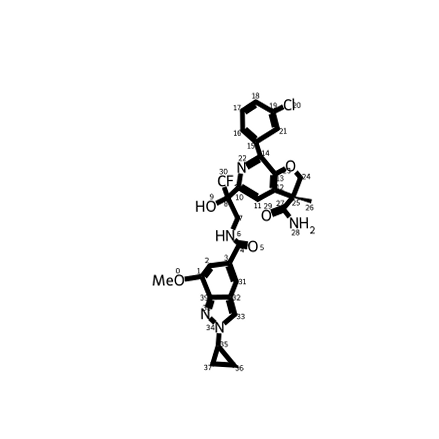 COc1cc(C(=O)NCC(O)(c2cc3c(c(-c4cccc(Cl)c4)n2)OC[C@]3(C)C(N)=O)C(F)(F)F)cc2cn(C3CC3)nc12